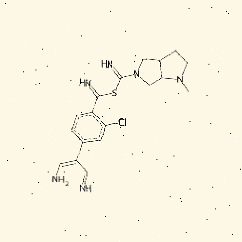 CN1CCC2CN(C(=N)SC(=N)c3ccc(/C(C=N)=C/N)cc3Cl)CC21